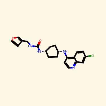 O=C(NCc1ccoc1)N[C@H]1CC[C@@H](Nc2ccnc3cc(Cl)ccc23)CC1